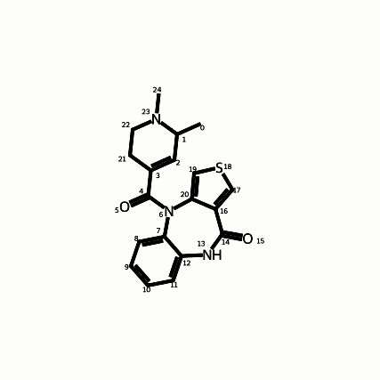 CC1C=C(C(=O)N2c3ccccc3NC(=O)c3cscc32)CCN1C